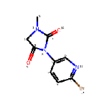 CN1CC(=O)N(c2ccc(Br)nc2)C1=O